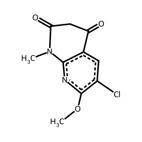 COc1nc2c(cc1Cl)C(=O)CC(=O)N2C